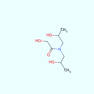 CC(O)CN(CC(C)O)C(=O)CO